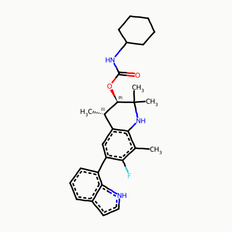 Cc1c(F)c(-c2cccc3cc[nH]c23)cc2c1NC(C)(C)[C@H](OC(=O)NC1CCCCC1)[C@H]2C